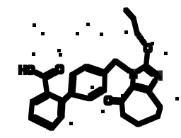 CCCOc1nc2c(n1Cc1ccc(-c3ccccc3C(=O)O)cc1)C(=O)CCCC2